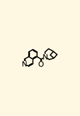 O=C(c1cccc2cnccc12)N1CCC2CC(C2)C1